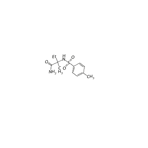 CCC(C)(NS(=O)(=O)c1ccc(C)cc1)C(N)=O